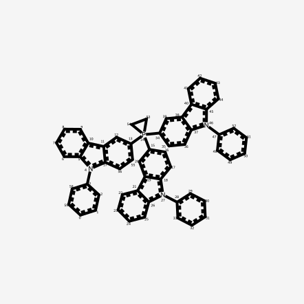 c1ccc(-n2c3ccccc3c3cc(P4(c5ccc6c(c5)c5ccccc5n6-c5ccccc5)(c5ccc6c(c5)c5ccccc5n6-c5ccccc5)CC4)ccc32)cc1